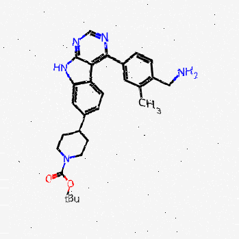 Cc1cc(-c2ncnc3[nH]c4cc(C5CCN(C(=O)OC(C)(C)C)CC5)ccc4c23)ccc1CN